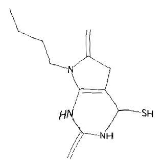 C=C1NC2=C(CC(=C)N2CCCC)C(S)N1